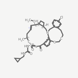 CO[C@H]1/C=C/C[C@H](C)C[S@@](=O)(NC(=O)NCC2CC2)=NC(=O)c2ccc3c(c2)N(Cc2ccc(Cl)cc2CCCCO3)C[C@@H]2CC[C@H]21